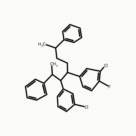 CC(CC[C](c1ccc(F)c(Cl)c1)C(c1cccc(Cl)c1)C(C)c1ccccc1)c1ccccc1